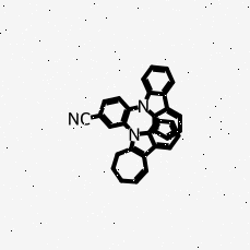 N#Cc1ccc(-n2c3ccccc3c3ccccc32)c(-n2c3c(c4ccccc42)C=CCCC3)c1